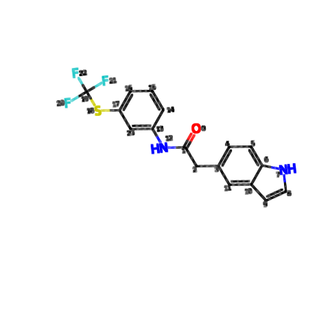 O=C(Cc1ccc2[nH]ccc2c1)Nc1cccc(SC(F)(F)F)c1